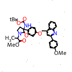 COC(=O)C(C)N1CCC(NC(=O)OC(C)(C)C)(c2ccc(OCc3cc(-c4ccc(OC)cc4)nc4ccccc34)cc2)C1=O